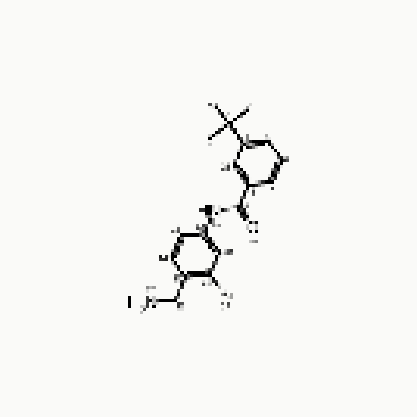 CC(C)(C)c1cccc(C(=O)Nc2ccc(CN)c(Br)c2)c1